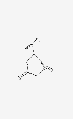 O=C1CC(=O)CC(NP)C1